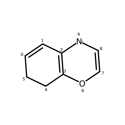 C1=CC2=C(CC1)OC=C[N]2